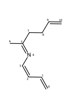 C=C/C=C\N=C(/C)CCC=C